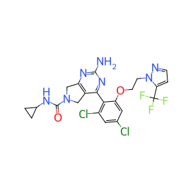 Nc1nc2c(c(-c3c(Cl)cc(Cl)cc3OCCn3nccc3C(F)(F)F)n1)CN(C(=O)NC1CC1)C2